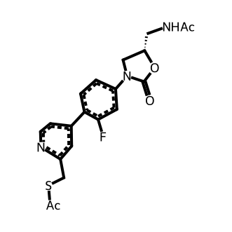 CC(=O)NC[C@H]1CN(c2ccc(-c3ccnc(CSC(C)=O)c3)c(F)c2)C(=O)O1